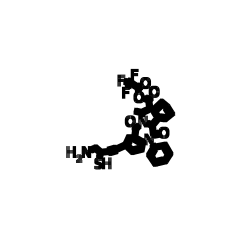 CC(CC(=O)OC(=O)C(F)(F)F)N1C(=O)c2cc(C#CC(S)CN)ccc2N(c2ccccc2)C(=O)C1c1ccccc1